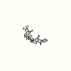 CN1CCN(c2cc3c(cc2F)c(=O)c(-c2nnc(NC(=O)Nc4cn(C5CC5)c5cc(Cl)c(F)cc5c4=O)o2)cn3C2CC2)CC1